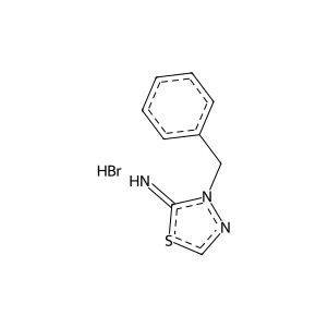 Br.N=c1scnn1Cc1ccccc1